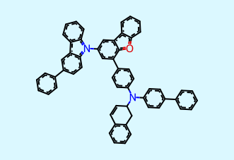 C1=CC(N(c2ccc(-c3ccccc3)cc2)c2ccc(-c3cc(-n4c5ccccc5c5cc(-c6ccccc6)ccc54)cc4c3oc3ccccc34)cc2)Cc2ccccc21